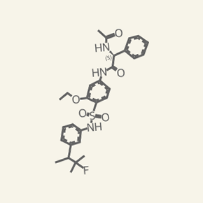 CCOc1cc(NC(=O)[C@@H](NC(C)=O)c2ccccc2)ccc1S(=O)(=O)Nc1cccc(C(C)C(C)(C)F)c1